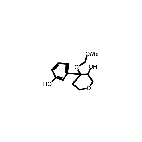 COCOC1(c2cccc(O)c2)CCOCC1O